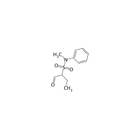 CCC(C=O)S(=O)(=O)N(C)c1ccccc1